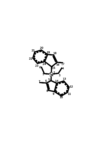 CC[Si](CC)(C1C(C)=Cc2ccccc21)C1C(C)=Cc2ccccc21